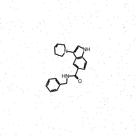 O=C(NCc1ccccc1)c1ccc2[nH]cc(N3CC=CCC3)c2c1